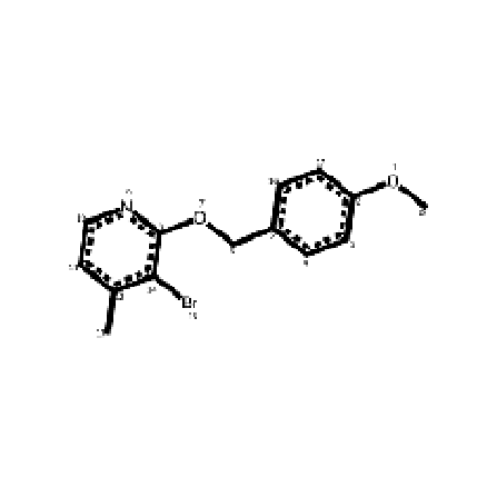 COc1ccc(COc2nccc(C)c2Br)cc1